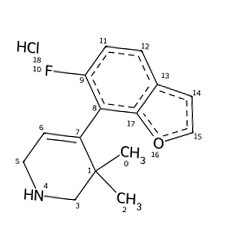 CC1(C)CNCC=C1c1c(F)ccc2ccoc12.Cl